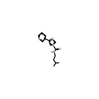 CC(C)CCNC(=O)n1cnc(-c2cccnc2)c1